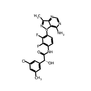 Cc1cc(Cl)cc([C@@H](O)C(=O)Nc2ccc(-n3nc(C)c4ncnc(N)c43)c(F)c2F)c1